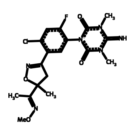 CO/N=C(\C)C1(C)CC(c2cc(-n3c(=O)n(C)c(=N)n(C)c3=O)c(F)cc2Cl)=NO1